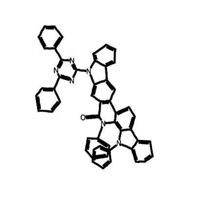 O=c1c2cc3c(cc2c2ccc4c5ccccc5n(-c5ccccc5)c4c2n1-c1ccccc1)c1ccccc1n3-c1nc(-c2ccccc2)nc(-c2ccccc2)n1